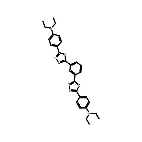 CCN(CC)c1ccc(-c2nnc(-c3cccc(-c4nnc(-c5ccc(N(CC)CC)cc5)o4)c3)o2)cc1